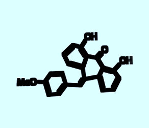 COc1ccc(C=C2c3cccc(O)c3C(=O)c3c(O)cccc32)cc1